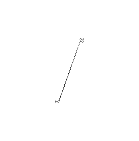 O=C(O)CCCCCCCCCCCCCCCCCCCCCCCCCCCCCCCCCCCCCCCCCCO